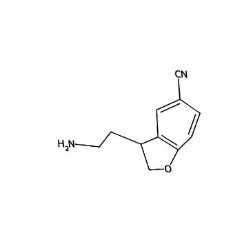 N#Cc1ccc2c(c1)C(CCN)CO2